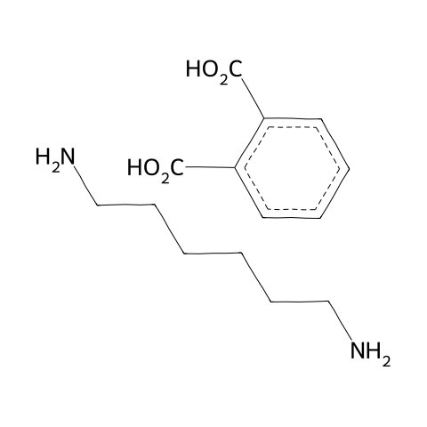 NCCCCCCN.O=C(O)c1ccccc1C(=O)O